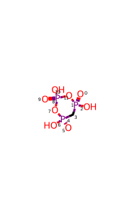 O=P1(O)CP(=O)(O)OP(=O)(O)O1